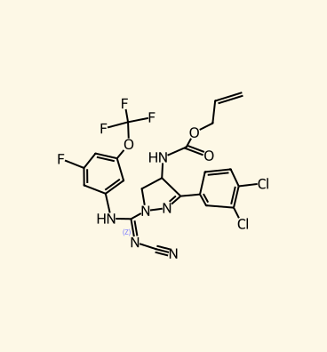 C=CCOC(=O)NC1CN(/C(=N\C#N)Nc2cc(F)cc(OC(F)(F)F)c2)N=C1c1ccc(Cl)c(Cl)c1